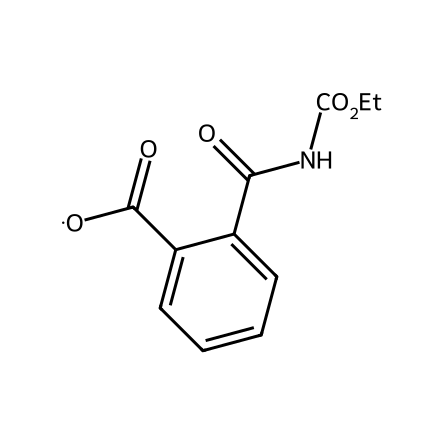 CCOC(=O)NC(=O)c1ccccc1C([O])=O